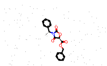 C[C@H](c1ccccc1)N1C(=O)O[C@@H](C(=O)OCc2ccccc2)C1=O